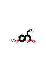 CC/C(=C/C(=O)O)c1ccc(OC)cc1